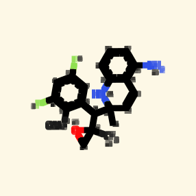 COc1c(F)cc(F)cc1C(C1(C)C=Cc2c(N)cccc2N1)C1(C(F)(F)F)CO1